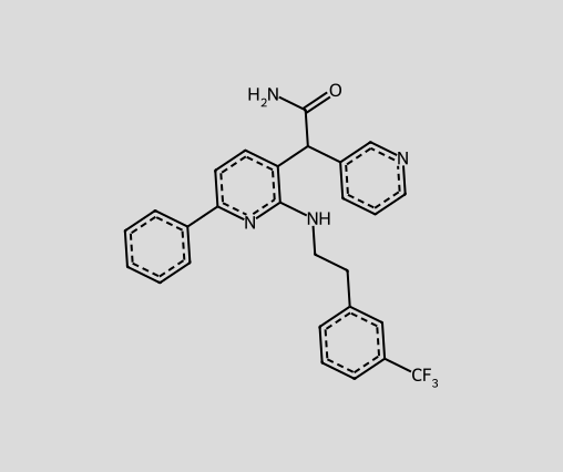 NC(=O)C(c1cccnc1)c1ccc(-c2ccccc2)nc1NCCc1cccc(C(F)(F)F)c1